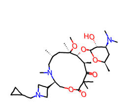 CO[C@]1(C)C[C@@H](C)CN(C)[C@H](C2CN(CC3CC3)C2)COC(=O)C(C)(C)C(=O)[C@H](C)[C@H]1O[C@@H]1O[C@H](C)C[C@H](N(C)C)[C@H]1O